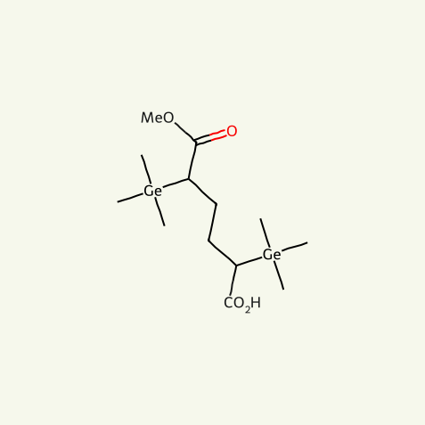 COC(=O)[CH](CC[CH](C(=O)O)[Ge]([CH3])([CH3])[CH3])[Ge]([CH3])([CH3])[CH3]